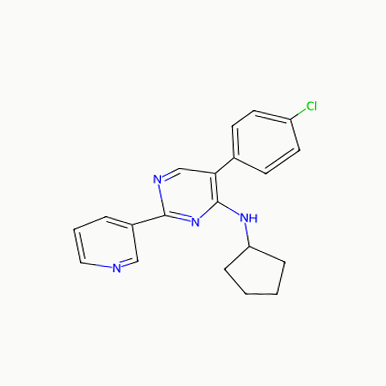 Clc1ccc(-c2cnc(-c3cccnc3)nc2NC2CCCC2)cc1